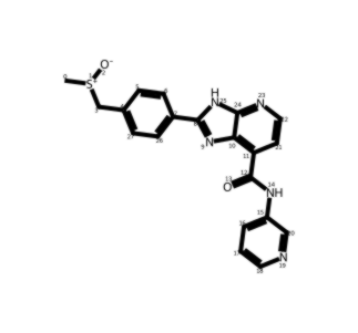 C[S+]([O-])Cc1ccc(-c2nc3c(C(=O)Nc4cccnc4)ccnc3[nH]2)cc1